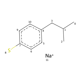 CC(C)Cc1ccc([S-])cc1.[Na+]